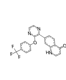 O=c1cc[nH]c2cc(-c3nccnc3Oc3ccc(C(F)(F)F)cc3)ccc12